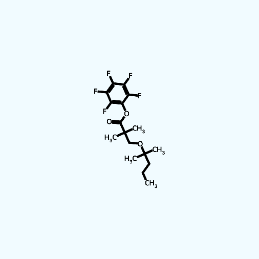 CCCC(C)(C)OCC(C)(C)C(=O)Oc1c(F)c(F)c(F)c(F)c1F